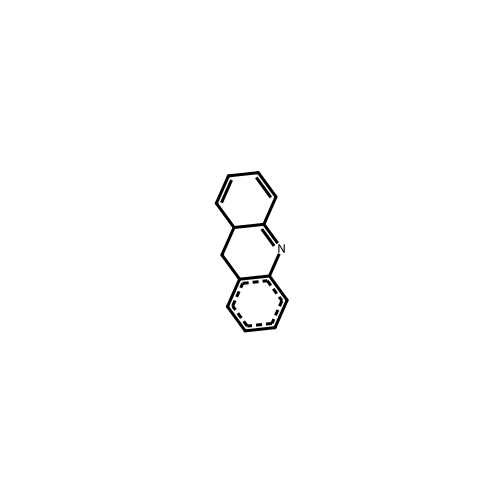 C1=CC2=Nc3ccccc3CC2C=C1